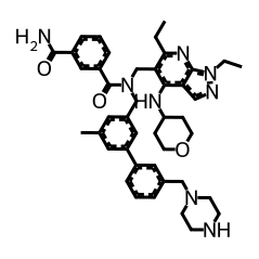 CCc1nc2c(cnn2CC)c(NC2CCOCC2)c1CN(Cc1cc(C)cc(-c2cccc(CN3CCNCC3)c2)c1)C(=O)c1cccc(C(N)=O)c1